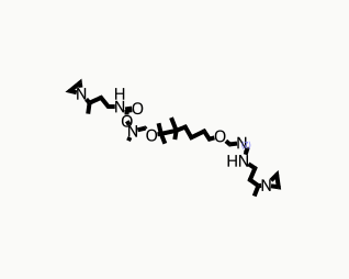 CC(CCN/C=N\COCCCCC(C)(C)C(C)(C)OCN(C)OC(=O)NCCC(C)N1CC1)N1CC1